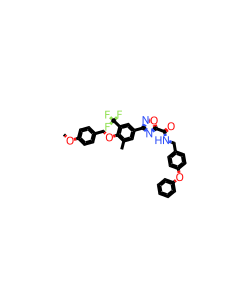 COc1ccc(COc2c(C)cc(-c3noc(C(=O)NCc4ccc(Oc5ccccc5)cc4)n3)cc2C(F)(F)F)cc1